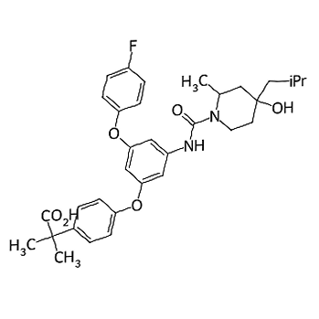 CC(C)CC1(O)CCN(C(=O)Nc2cc(Oc3ccc(F)cc3)cc(Oc3ccc(C(C)(C)C(=O)O)cc3)c2)C(C)C1